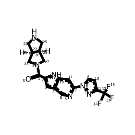 O=C(c1cc2cnc(-n3ccc(C(F)(F)F)n3)cc2[nH]1)N1C[C@H]2CNC[C@H]2C1